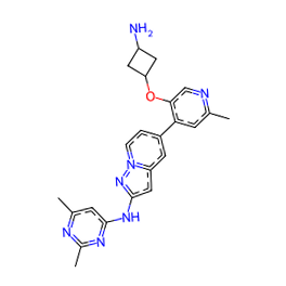 Cc1cc(-c2ccn3nc(Nc4cc(C)nc(C)n4)cc3c2)c(OC2CC(N)C2)cn1